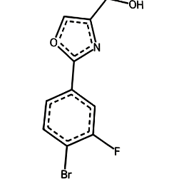 OCc1coc(-c2ccc(Br)c(F)c2)n1